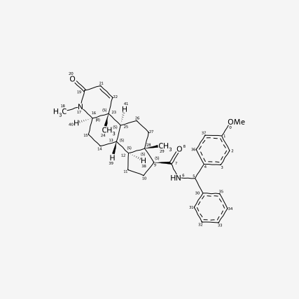 COc1ccc(C(NC(=O)[C@H]2CC[C@H]3[C@@H]4CC[C@H]5N(C)C(=O)C=C[C@]5(C)[C@H]4CC[C@]23C)c2ccccc2)cc1